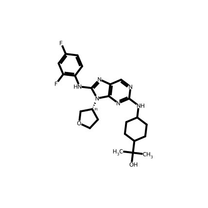 CC(C)(O)C1CCC(Nc2ncc3nc(Nc4ccc(F)cc4F)n([C@@H]4CCOC4)c3n2)CC1